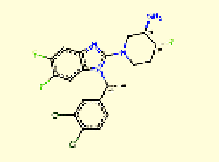 C[C@H](c1ccc(Cl)c(Cl)c1)n1c(N2CC[C@@H](F)[C@H](N)C2)nc2cc(F)c(F)cc21